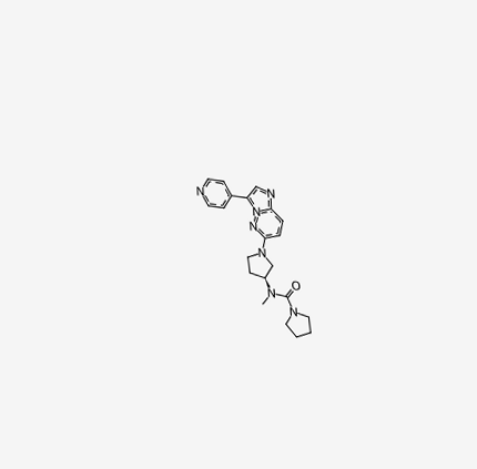 CN(C(=O)N1CCCC1)[C@H]1CCN(c2ccc3ncc(-c4ccncc4)n3n2)C1